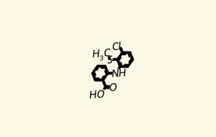 CSc1c(Cl)cccc1Nc1ccccc1C(=O)O